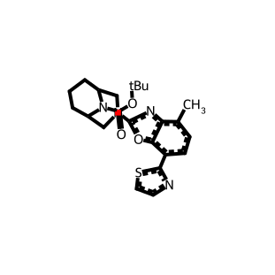 Cc1ccc(-c2nccs2)c2oc(N3CC4CCCC(C3)N4C(=O)OC(C)(C)C)nc12